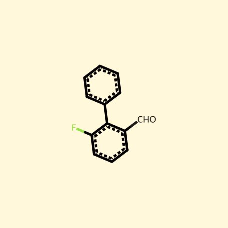 O=Cc1cccc(F)c1-c1ccccc1